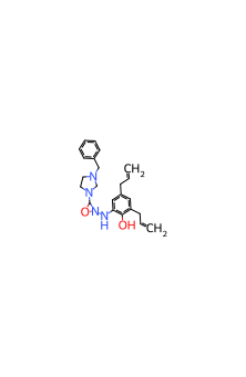 C=CCc1cc(CC=C)c(O)c(NN2OC2N2CCN(Cc3ccccc3)C2)c1